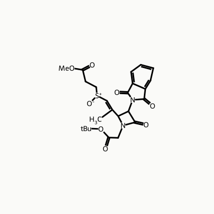 COC(=O)CC[S+]([O-])C=C(C)C1C(N2C(=O)c3ccccc3C2=O)C(=O)N1CC(=O)OC(C)(C)C